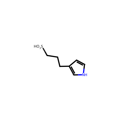 O=S(=O)(O)CCCc1[c][nH][c]c1